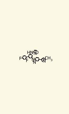 Cn1cc(-c2ccc3c(c2)ncn3-c2cc(Nc3ccon3)cc(-c3ccc(F)cc3F)c2)cn1